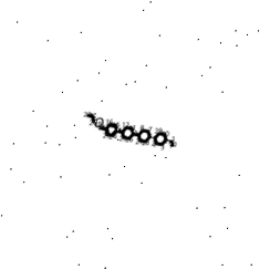 C=C[C@H]1CC[C@H](C2CCC(C3CCC(c4ccc(COCCC)cc4)CC3)CC2)CC1